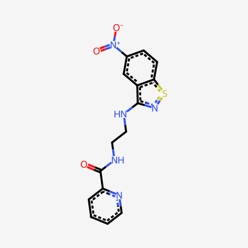 O=C(NCCNc1nsc2ccc([N+](=O)[O-])cc12)c1ccccn1